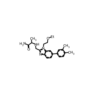 CCOCCn1c(CNC(C)C(N)=O)nc2ccc(-c3ccc(C)c(C)c3)cc21